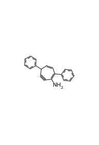 NC1=C(c2ccccc2)C=CC(c2ccccc2)C#C1